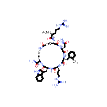 CC(=O)N[C@@H](CCCNC(=N)N)C(=O)N[C@H]1CCC(=O)NCCCC(C(N)=O)NC(=O)[C@H](Cc2c[nH]c3ccccc23)NC(=O)[C@H](CCCNC(=N)N)NC(=O)[C@@H](Cc2ccccc2C(F)(F)F)NC(=O)[C@H](CC(N)=O)NC1=O